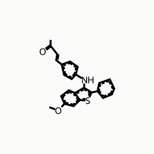 COc1ccc2c(Nc3ccc(/C=C/C(C)=O)cc3)c(-c3ccccc3)sc2c1